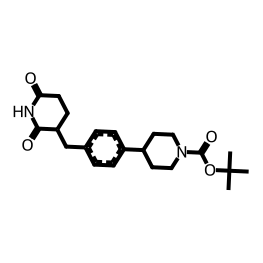 CC(C)(C)OC(=O)N1CCC(c2ccc(CC3CCC(=O)NC3=O)cc2)CC1